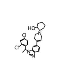 CC(c1ccc(Cl)cc1Cl)n1cnc2ccc(C3=CCN(C4CCCCC4O)CC3)cc21